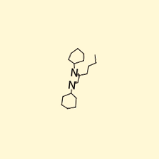 CCCCC(C=NC1CCCCC1)=NC1CCCCC1